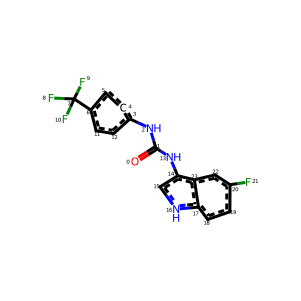 O=C(Nc1ccc(C(F)(F)F)cc1)Nc1c[nH]c2ccc(F)cc12